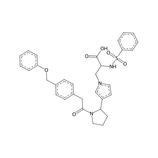 O=C(O)C(Cn1ccc(C2CCCN2C(=O)Cc2ccc(COc3ccccc3)cc2)c1)NS(=O)(=O)c1ccccc1